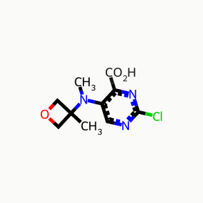 CN(c1cnc(Cl)nc1C(=O)O)C1(C)COC1